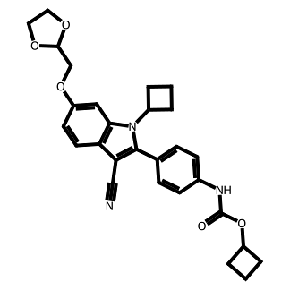 N#Cc1c(-c2ccc(NC(=O)OC3CCC3)cc2)n(C2CCC2)c2cc(OCC3OCCO3)ccc12